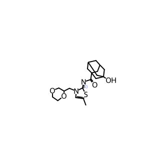 Cc1cn(CC2COCCO2)/c(=N/C(=O)C23CC4CC(CC(O)(C4)C2)C3)s1